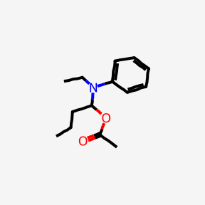 CCCC(OC(C)=O)N(CC)c1ccccc1